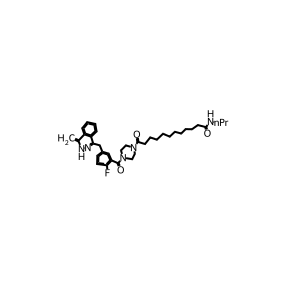 C=C1NN=C(Cc2ccc(F)c(C(=O)N3CCN(C(=O)CCCCCCCCCCC(=O)NCCC)CC3)c2)c2ccccc21